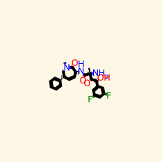 CN1C[C@@H](c2ccccc2)C=C[C@H](NC(=O)[C@](C)(N)C(=O)[C@@H](O)c2cc(F)cc(F)c2)C1=O